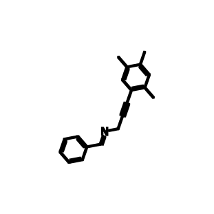 Cc1cc(C)c(C#CC/N=C/c2ccccc2)cc1C